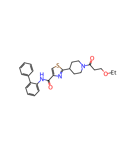 CCOCCC(=O)N1CCC(c2nc(C(=O)Nc3ccccc3-c3ccccc3)cs2)CC1